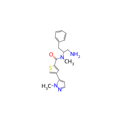 CN(C(=O)c1cc(-c2ccnn2C)cs1)C(CN)Cc1ccccc1